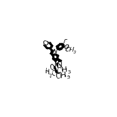 COc1cc(-n2c(C3CCOCC3)cc3cc4c(cnn4C(=O)C(C)(C)C)cc32)ccc1F